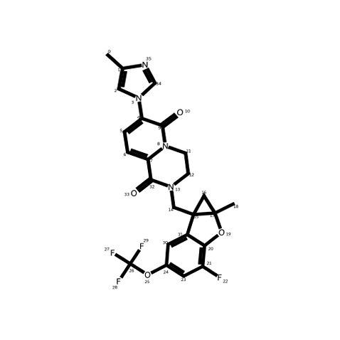 Cc1cn(-c2ccc3n(c2=O)CCN(CC24CC2(C)Oc2c(F)cc(OC(F)(F)F)cc24)C3=O)cn1